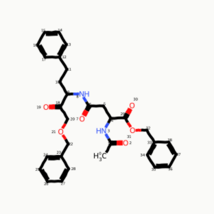 CC(=O)NC(CC(=O)NC(CCc1ccccc1)C(=O)COCc1ccccc1)C(=O)OCc1ccccc1